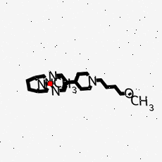 COCCCCN1CCC(c2cnc(N3C4CCC3CN(C)C4)nc2)CC1